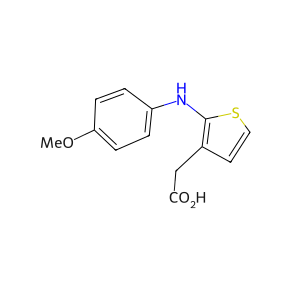 COc1ccc(Nc2sccc2CC(=O)O)cc1